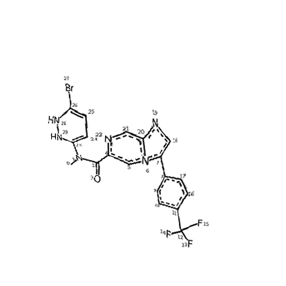 CN(C(=O)c1cn2c(-c3ccc(C(F)(F)F)cc3)cnc2cn1)C1=CC=C(Br)NN1